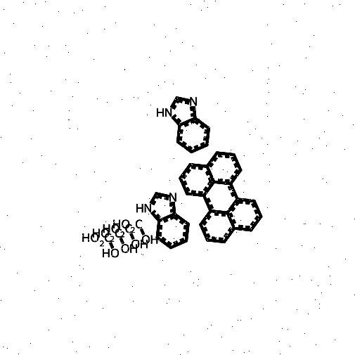 O=C(O)O.O=C(O)O.O=C(O)O.O=C(O)O.c1cc2cccc3c4cccc5cccc(c(c1)c23)c54.c1ccc2[nH]cnc2c1.c1ccc2[nH]cnc2c1